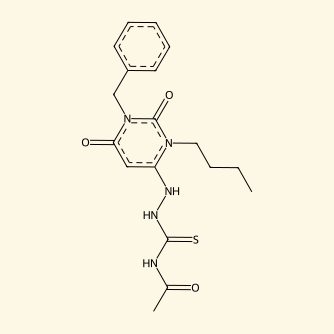 CCCCn1c(NNC(=S)NC(C)=O)cc(=O)n(Cc2ccccc2)c1=O